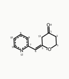 O=C1CCOC(=Cc2ccccn2)C1